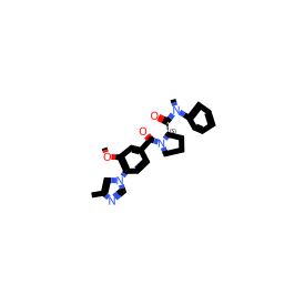 COc1cc(C(=O)N2CCC[C@H]2C(=O)N(C)c2ccccc2)ccc1-n1cnc(C)c1